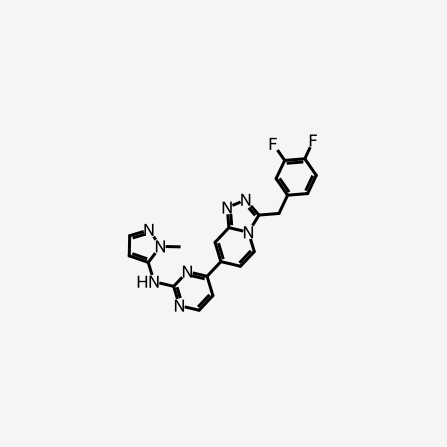 Cn1nccc1Nc1nccc(-c2ccn3c(Cc4ccc(F)c(F)c4)nnc3c2)n1